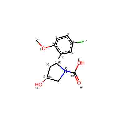 COc1ccc(F)cc1[C@H]1C[C@@H](O)CN1C(=O)O